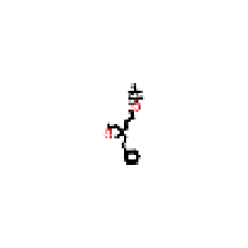 CC(=O)CC(C)(CCCCO[Si](C)(C)C(C)(C)C)CCc1ccccc1